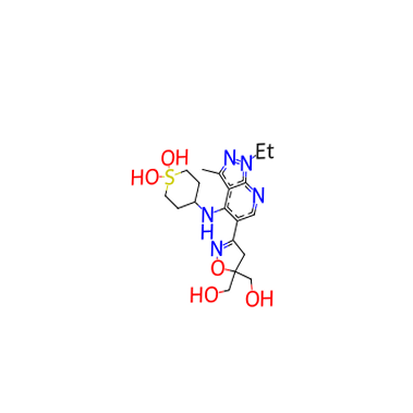 CCn1nc(C)c2c(NC3CCS(O)(O)CC3)c(C3=NOC(CO)(CO)C3)cnc21